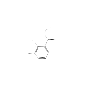 CCCCCCOC(CCCCC)c1cccc(O)c1O